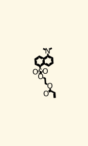 C=CC(=O)OCCOS(=O)(=O)c1cccc2c(N(C)C)cccc12